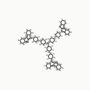 c1ccc2c(c1)nc1n(-c3ccc(-c4ccc(N(c5ccc(-c6ccc(-n7c8ccccc8n8c9ccccc9nc78)cc6)cc5)c5ccc(-c6ccc(-n7c8ccccc8n8c9ccccc9nc78)cc6)cc5)cc4)cc3)c3ccccc3n21